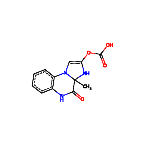 CC12NC(OC(=O)O)=CN1c1ccccc1NC2=O